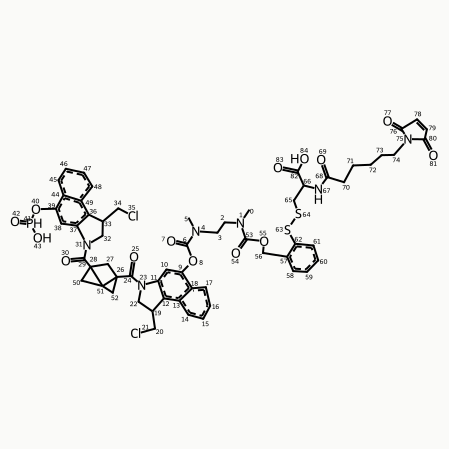 CN(CCN(C)C(=O)Oc1cc2c(c3ccccc13)C(CCl)CN2C(=O)C12CC3(C(=O)N4CC(CCl)c5c4cc(O[PH](=O)O)c4ccccc54)CC13C2)C(=O)OCc1ccccc1SSCC(NC(=O)CCCCCN1C(=O)C=CC1=O)C(=O)O